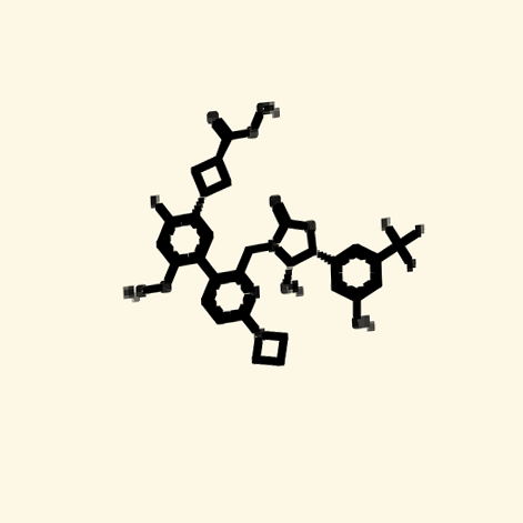 COc1cc(F)c([C@H]2C[C@H](C(=O)OC)C2)cc1-c1ccc(N2CCC2)nc1CN1C(=O)O[C@H](c2cc(C)cc(C(F)(F)F)c2)[C@@H]1C